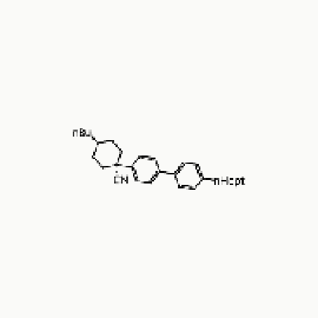 CCCCCCCc1ccc(-c2ccc([C@]3(C#N)CC[C@H](CCCC)CC3)cc2)cc1